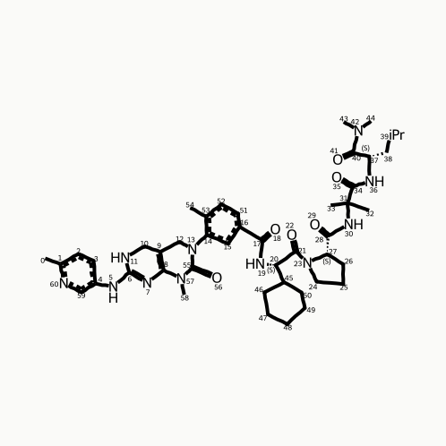 Cc1ccc(NC2=NC3=C(CN2)CN(c2cc(C(=O)N[C@H](C(=O)N4CCC[C@H]4C(=O)NC(C)(C)C(=O)N[C@@H](CC(C)C)C(=O)N(C)C)C4CCCCC4)ccc2C)C(=O)N3C)cn1